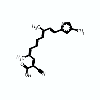 CC(C=Cc1cc(C)cs1)=CC=CC=C(C)C=C(C#N)C(=O)O